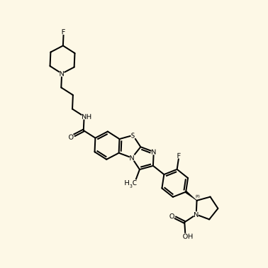 Cc1c(-c2ccc([C@H]3CCCN3C(=O)O)cc2F)nc2sc3cc(C(=O)NCCCN4CCC(F)CC4)ccc3n12